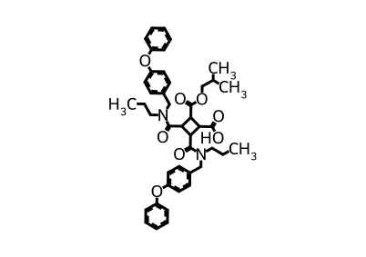 CCCN(Cc1ccc(Oc2ccccc2)cc1)C(=O)C1C(C(=O)O)C(C(=O)OCC(C)C)C1C(=O)N(CCC)Cc1ccc(Oc2ccccc2)cc1